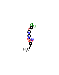 CCCCc1ccc(S(=O)(=O)NC(=O)N2CCC(N3CCC(Oc4ccc(Cl)c(Cl)c4)CC3)CC2)cc1